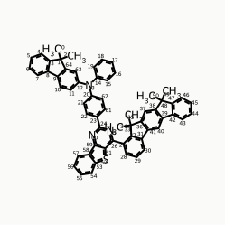 CC1(C)c2ccccc2-c2ccc(N(c3ccccc3)c3ccc(-c4nc(-c5cccc6c5C(C)(C)c5cc7c(cc5-6)-c5ccccc5C7(C)C)c5sc6ccccc6c5n4)cc3)cc21